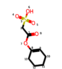 O=C(CS(=O)(=O)O)OC1=CCCCC1